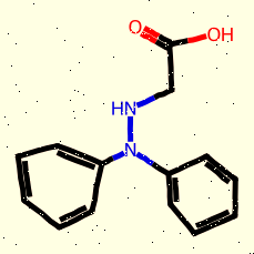 O=C(O)CNN(c1ccccc1)c1ccccc1